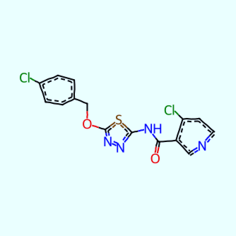 O=C(Nc1nnc(OCc2ccc(Cl)cc2)s1)c1cnccc1Cl